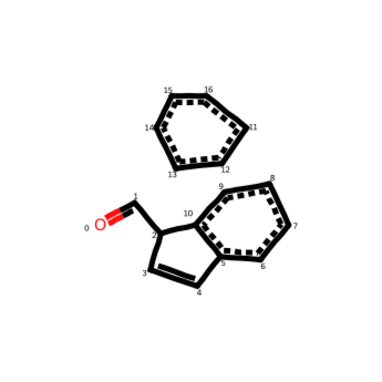 O=CC1C=Cc2ccccc21.[c]1ccccc1